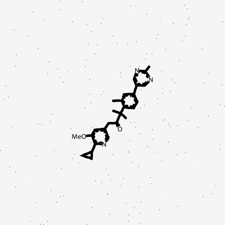 COc1cc(CC(=O)C(C)(C)c2ccc(-c3cnc(C)nc3)cc2C)cnc1C1CC1